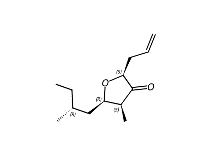 C=CC[C@@H]1O[C@H](C[C@H](C)CC)[C@H](C)C1=O